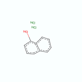 Cl.Cl.Oc1cccc2ccccc12